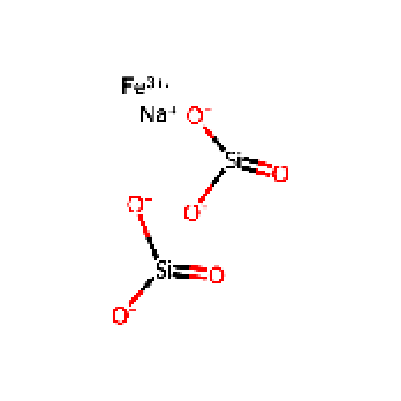 O=[Si]([O-])[O-].O=[Si]([O-])[O-].[Fe+3].[Na+]